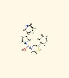 O=C(N1C=CSC(C2=CC=CCC2)=C1)N1CCC(c2cccnc2)C1